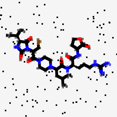 CC(C)CC(C(=O)N[C@@H](CCCNC(=N)N)C(=O)NC1CCOC1=O)N1CCN(C(=O)C(CS)N2C(=O)N[C@H](C(C)C)C2=O)CC1